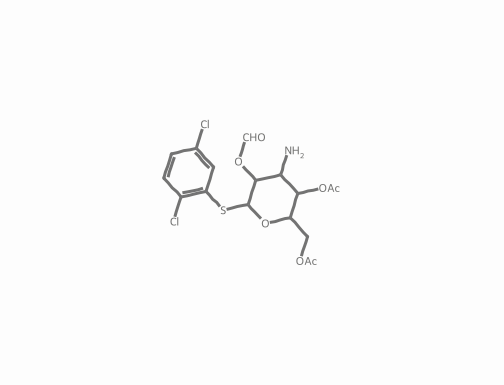 CC(=O)OCC1OC(Sc2cc(Cl)ccc2Cl)C(OC=O)C(N)C1OC(C)=O